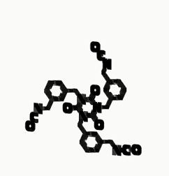 O=C=NCc1cccc(Cn2c(=O)n(Cc3cccc(CN=C=O)c3)c(=O)n(Cc3cccc(CN=C=O)c3)c2=O)c1